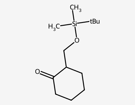 CC(C)(C)[Si](C)(C)OCC1CCCCC1=O